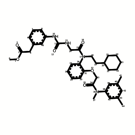 COC(=O)Cc1cccc(NC(=O)NCC(=O)N(CCC2CCCCC2)c2ccccc2OCC(=O)N(C)c2cc(C)cc(C)c2)c1